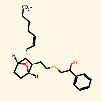 O=C(O)CCC/C=C\C[C@@H]1[C@@H](CCSCC(O)c2ccccc2)[C@@H]2CC[C@H]1O2